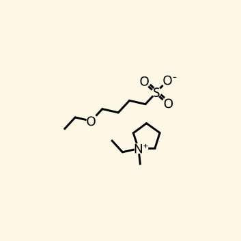 CCOCCCCS(=O)(=O)[O-].CC[N+]1(C)CCCC1